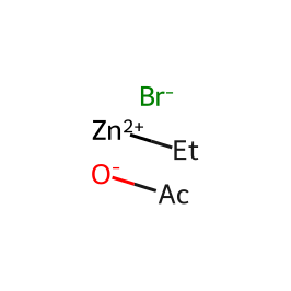 CC(=O)[O-].C[CH2][Zn+2].[Br-]